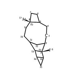 I[C@]12C3CCC4CC[C@H]4CCC(C3)C1C1CC12